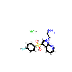 Cl.NCCn1cc(S(=O)(=O)c2ccc(F)cc2)c2cccnc21